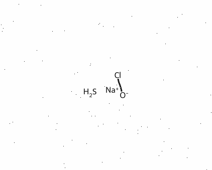 S.[Na+].[O-]Cl